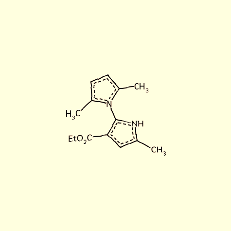 CCOC(=O)c1cc(C)[nH]c1-n1c(C)ccc1C